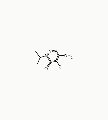 CC(C)n1ncc(N)c(Cl)c1=O